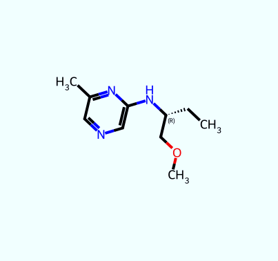 CC[C@H](COC)Nc1cncc(C)n1